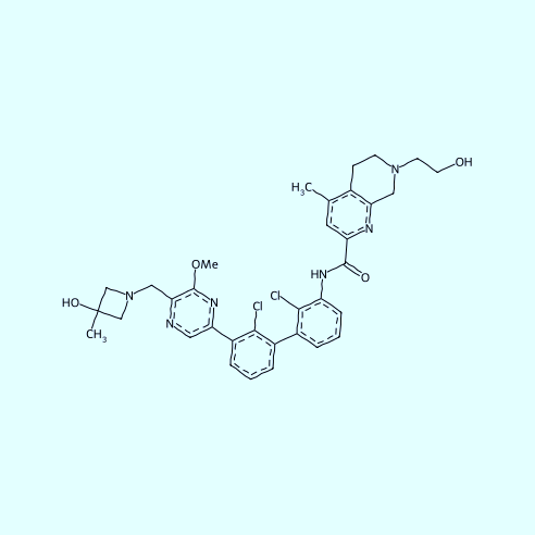 COc1nc(-c2cccc(-c3cccc(NC(=O)c4cc(C)c5c(n4)CN(CCO)CC5)c3Cl)c2Cl)cnc1CN1CC(C)(O)C1